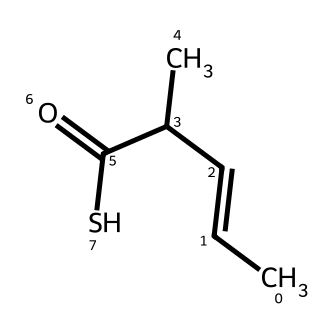 CC=CC(C)C(=O)S